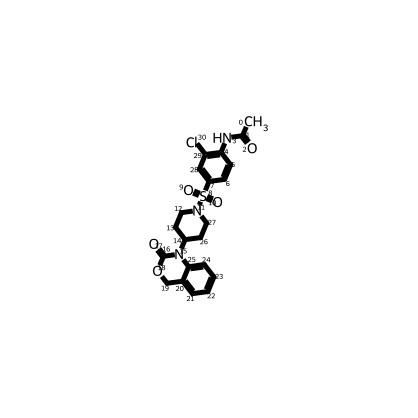 CC(=O)Nc1ccc(S(=O)(=O)N2CCC(N3C(=O)OCc4ccccc43)CC2)cc1Cl